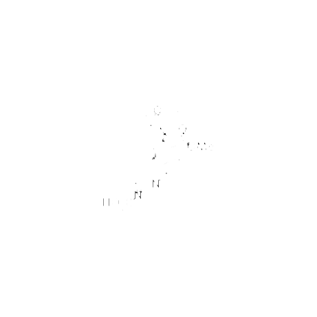 COC(=O)c1cc(CN2CCN(C(=O)O)CC2)ccc1N1CCOCC1